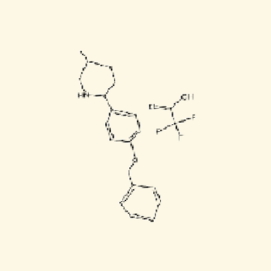 CC1CCC(c2ccc(OCc3ccccc3)cc2)NC1.O=C(O)C(F)(F)F